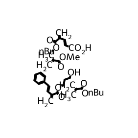 C=C(C)C(=O)OC.C=C(C)C(=O)OCCCC.C=C(C=CC(=O)O)C(=O)OCCCC.C=C(C=Cc1ccccc1)C(=O)OCCCO